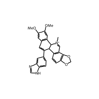 COc1cc2c(cc1OC)C1C(C(c3ccc4[nH]cnc4c3)=C2)c2ccc3c(c2C=[N+]1C)OCO3